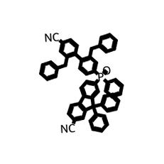 N#Cc1ccc(-c2ccc(P(=O)(c3ccccc3)c3ccc4c(c3)C(c3ccccc3)(c3ccccc3)c3cc(C#N)ccc3-4)cc2Cc2ccccc2)c(Cc2ccccc2)c1